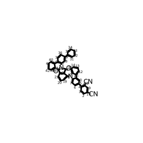 N#Cc1ccc(-c2ccc3c(c2)c2ccccc2n3-c2cccc3c2C(=O)N(c2cc(-c4ccccc4)ccc2-c2ccccc2)C3=O)c(C#N)c1